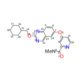 CNC(=O)c1cc(Oc2ccc3nc(OCC4CCCCC4)ncc3c2)ccn1